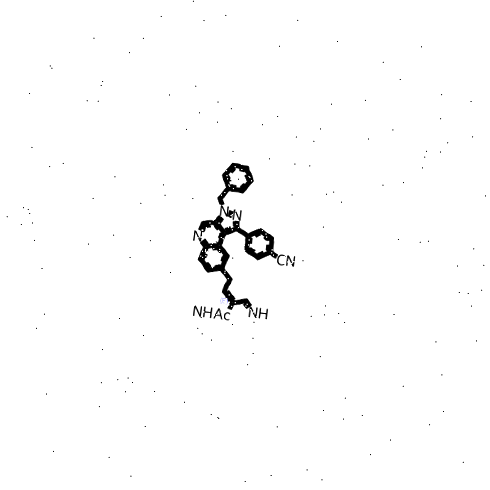 CC(=O)N/C(C=N)=C/Cc1ccc2ncc3c(c(-c4ccc(C#N)cc4)nn3Cc3ccccc3)c2c1